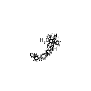 CC(=O)c1c(C)c2cnc(Nc3ccc(N4CCC(Oc5ccc(CO)cc5)CC4)nc3)nc2n(C2CCCC2)c1=O